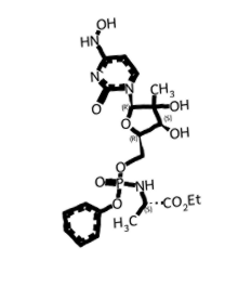 CCOC(=O)[C@H](C)NP(=O)(OC[C@H]1O[C@@H](n2ccc(NO)nc2=O)C(C)(O)[C@H]1O)Oc1ccccc1